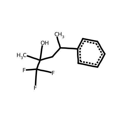 CC(CC(C)(O)C(F)(F)F)c1ccccc1